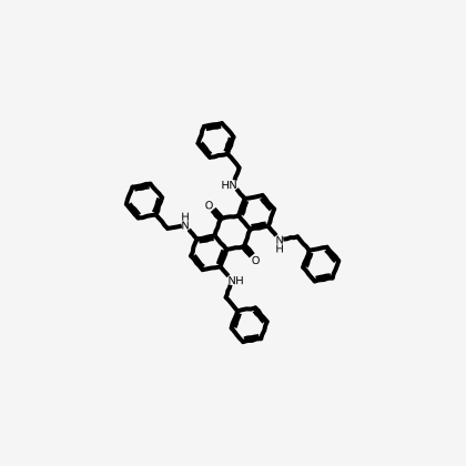 O=C1c2c(NCc3ccccc3)ccc(NCc3ccccc3)c2C(=O)c2c(NCc3ccccc3)ccc(NCc3ccccc3)c21